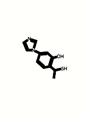 CC(S)c1ccc(-n2ccnc2)cc1O